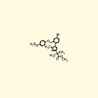 COC(=O)C(C)(C)c1cc(-c2ccc(Br)cc2COc2ccc(OC)cc2)n(C)n1